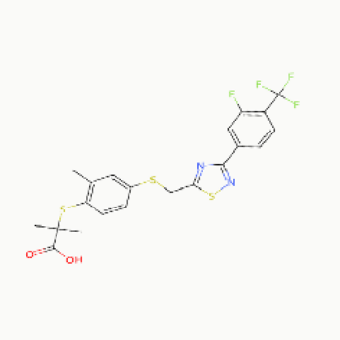 Cc1cc(SCc2nc(-c3ccc(C(F)(F)F)c(F)c3)ns2)ccc1SC(C)(C)C(=O)O